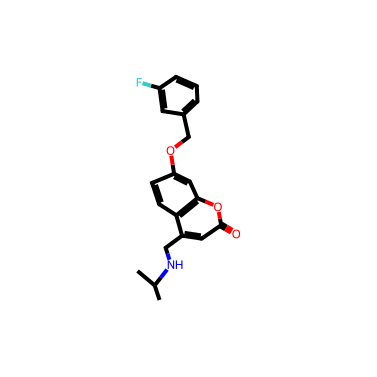 CC(C)NCc1cc(=O)oc2cc(OCc3cccc(F)c3)ccc12